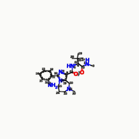 CNC(=O)[C@@H](NC(=O)c1nc(-c2ccccc2N)n2c1CN(C)CCC2)C(C)(C)C